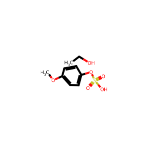 CCO.COc1ccc(OS(=O)(=O)O)cc1